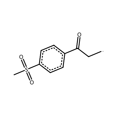 [CH2]CC(=O)c1ccc(S(C)(=O)=O)cc1